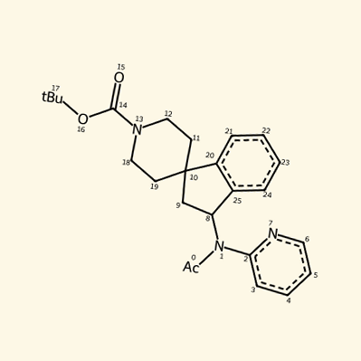 CC(=O)N(c1ccccn1)C1CC2(CCN(C(=O)OC(C)(C)C)CC2)c2ccccc21